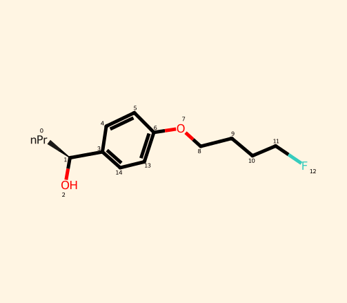 CCC[C@H](O)c1ccc(OCCCCF)cc1